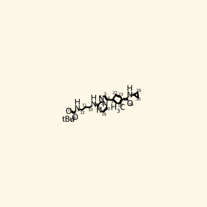 Cc1cc(-c2cnc3c(NCCCNC(=O)OC(C)(C)C)nccn23)ccc1C(=O)NC1CC1